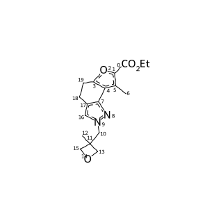 CCOC(=O)c1oc2c(c1C)-c1nn(CC3(C)COC3)cc1CC2